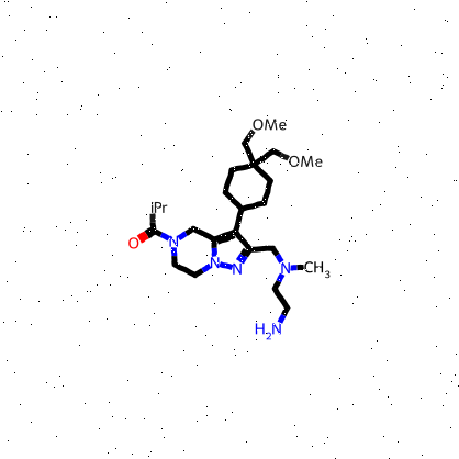 COCC1(COC)CCC(c2c(CN(C)CCN)nn3c2CN(C(=O)C(C)C)CC3)CC1